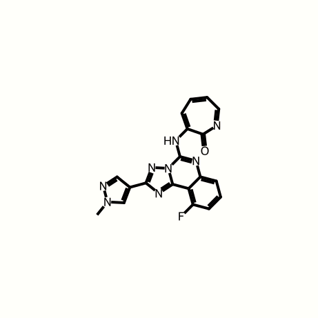 Cn1cc(-c2nc3c4c(F)cccc4nc(Nc4ccccnc4=O)n3n2)cn1